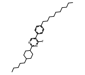 CCCCCCCCCCc1ccc(-c2cnc(C3CCC(CCCCC)CC3)nc2F)cc1